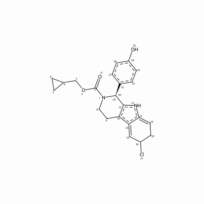 O=C(OCC1CC1)N1CCc2c([nH]c3c2=CC(Cl)CC=3)[C@@H]1c1ccc(O)cc1